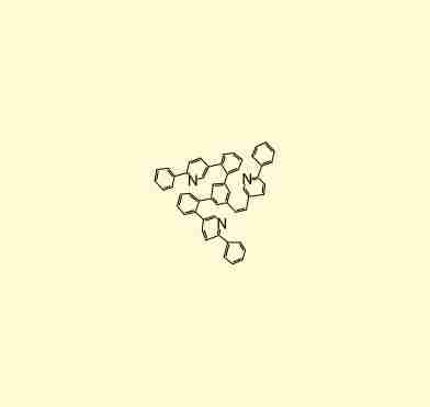 C(=C/c1cc(-c2ccccc2-c2ccc(-c3ccccc3)nc2)cc(-c2ccccc2-c2ccc(-c3ccccc3)nc2)c1)/c1ccc(-c2ccccc2)nc1